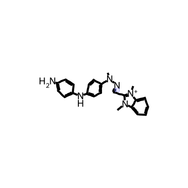 CN(/N=C/c1n(C)c2ccccc2[n+]1C)c1ccc(Nc2ccc(N)cc2)cc1